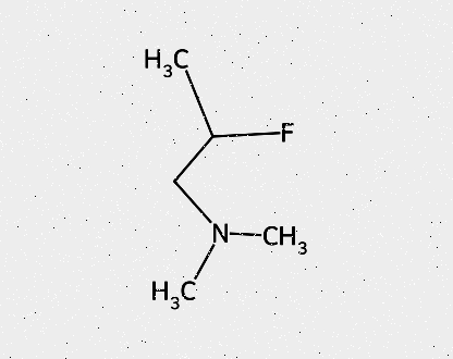 CC(F)CN(C)C